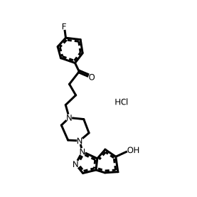 Cl.O=C(CCCN1CCN(n2ncc3ccc(O)cc32)CC1)c1ccc(F)cc1